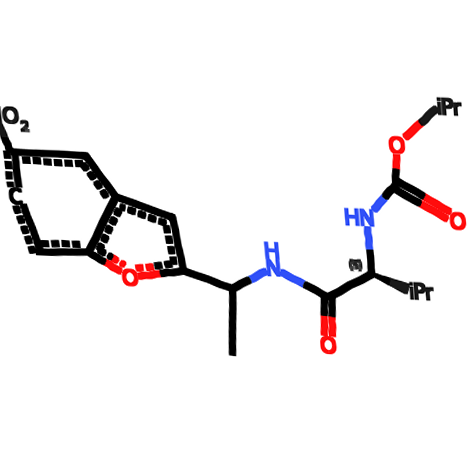 CC(C)OC(=O)N[C@H](C(=O)NC(C)c1cc2cc([N+](=O)[O-])ccc2o1)C(C)C